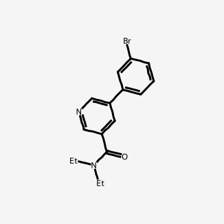 CCN(CC)C(=O)c1cncc(-c2cccc(Br)c2)c1